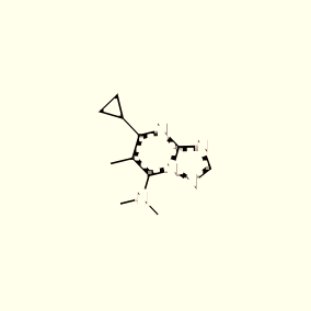 Cc1c(C2CC2)nc2ncnn2c1N(C)C